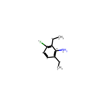 CCc1ccc(F)c(CC)c1N